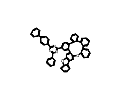 c1ccc(-c2ccc(-c3nc(-c4ccccc4)nc(-c4ccc5c(c4)-c4cc6oc7ccccc7c6cc4Oc4ccccc4-c4ccccc4-c4ccccc4-5)n3)cc2)cc1